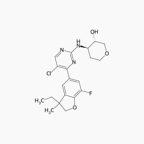 CCC1(C)COc2c(F)cc(-c3nc(N[C@@H]4CCOC[C@H]4O)ncc3Cl)cc21